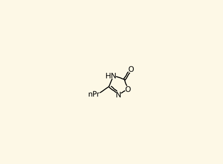 CCCc1noc(=O)[nH]1